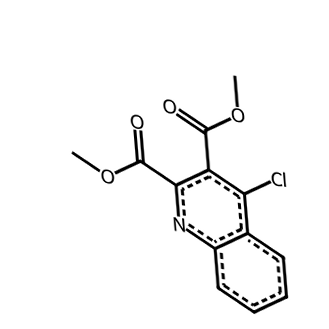 COC(=O)c1nc2ccccc2c(Cl)c1C(=O)OC